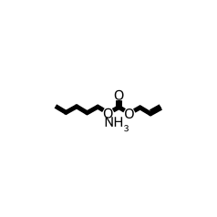 C=CCOC(=O)OCCCCC.N